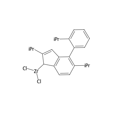 CC(C)C1=Cc2c(ccc(C(C)C)c2-c2ccccc2C(C)C)[CH]1[Zr]([Cl])[Cl]